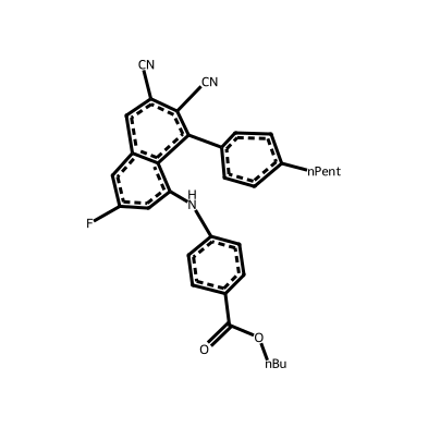 CCCCCc1ccc(-c2c(C#N)c(C#N)cc3cc(F)cc(Nc4ccc(C(=O)OCCCC)cc4)c23)cc1